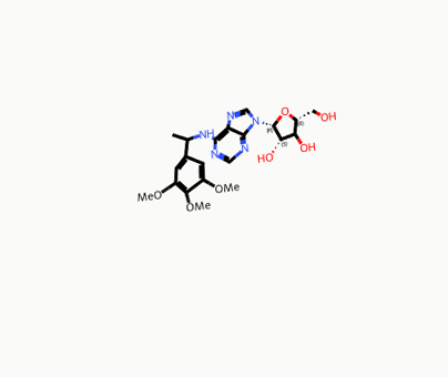 COc1cc(C(C)Nc2ncnc3c2ncn3[C@@H]2O[C@H](CO)C(O)[C@@H]2O)cc(OC)c1OC